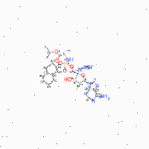 CC(C)OC(=O)[C@H](C)NP(=O)(OC[C@@]1(N=[N+]=[N-])O[C@@H](n2cnc3c(N)ncnc32)[C@H](F)[C@@H]1O)Oc1ccc2ccccc2c1